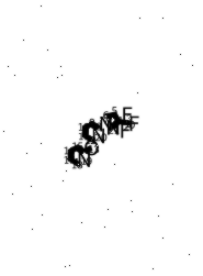 FC(F)(F)c1ccn(-c2cccc(Oc3cc[c]cn3)n2)n1